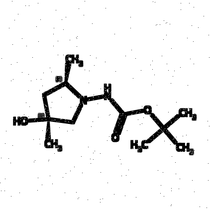 C[C@@H]1C[C@](C)(O)CN1NC(=O)OC(C)(C)C